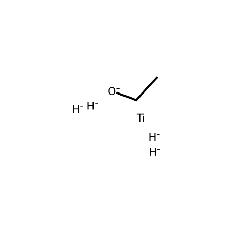 CC[O-].[H-].[H-].[H-].[H-].[Ti]